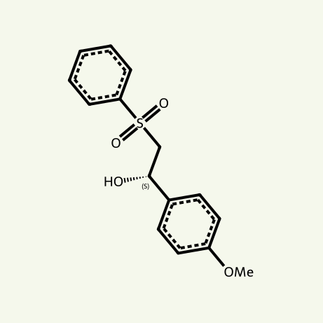 COc1ccc([C@H](O)CS(=O)(=O)c2ccccc2)cc1